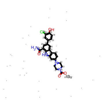 CC(C)(C)OC(=O)N1CCN(c2ccc3c(c2)[nH]c2c(C(N)=O)cc(-c4ccc(O)c(Cl)c4)cc23)CC1